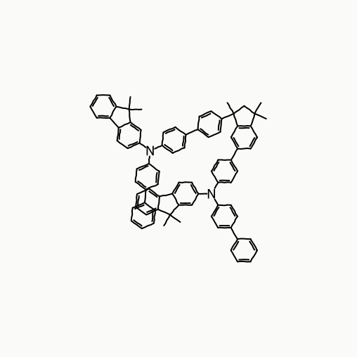 CC1(C)CC(C)(c2ccc(-c3ccc(N(c4ccc(-c5ccccc5)cc4)c4ccc5c(c4)C(C)(C)c4ccccc4-5)cc3)cc2)c2cc(-c3ccc(N(c4ccc(-c5ccccc5)cc4)c4ccc5c(c4)C(C)(C)c4ccccc4-5)cc3)ccc21